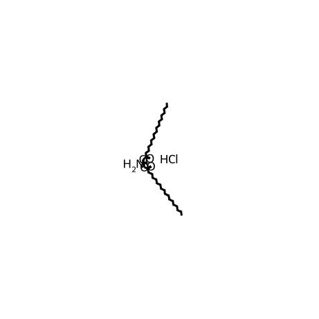 CCCCCCCCCCCCCCCCCC(=O)OC(C)(N)OC(=O)CCCCCCCCCCCCCCCCC.Cl